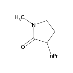 CCCC1CCN(C)C1=O